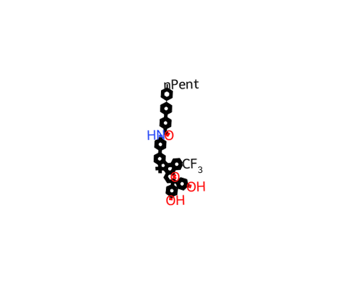 CCCCC[C@H]1CC[C@H](c2ccc(-c3ccc(C(=O)Nc4ccc(-c5ccc6c(c5)-c5c(c7c(c8cc(C(F)(F)F)ccc58)OC(c5ccc(O)cc5)(c5ccc(O)cc5)C=C7)C6(C)C)cc4)cc3)cc2)CC1